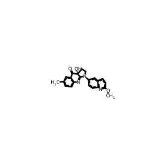 COc1ccc2cc(N3CC[C@@]4(O)C(=O)c5cc(C)ccc5N=C34)ccc2n1